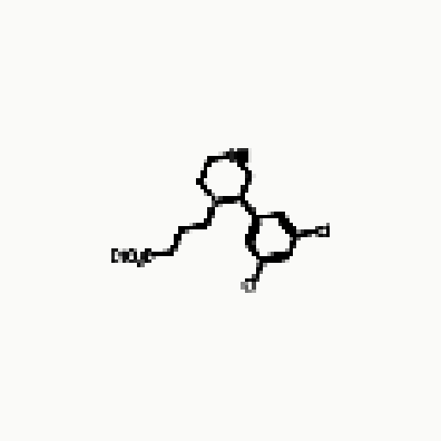 CCOC(=O)CCCN1CCNCC1c1cc(Cl)cc(Cl)c1